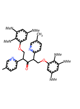 CNc1cc(NC)c(NC)c(OCC(C(=O)C(COc2cc(NC)cc(NC)c2NC)c2ccc(C)cn2)c2ccc(C)cn2)c1